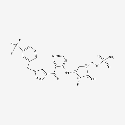 NS(=O)(=O)OC[C@H]1C[C@@H](Nc2ncncc2C(=O)c2ccn(Cc3cccc(C(F)(F)F)c3)c2)[C@@H](F)[C@@H]1O